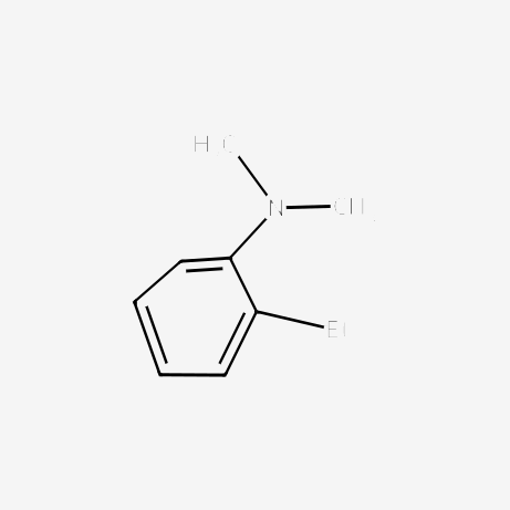 [CH2]Cc1ccccc1N(C)C